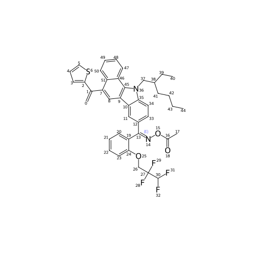 C=C(c1cccs1)c1cc2c3cc(/C(=N\OC(C)=O)c4ccccc4OCC(F)(F)C(F)F)ccc3n(CC(CC)CCCC)c2c2ccccc12